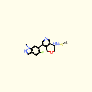 CCSNC1COCc2c(-c3cc4c(cnn4C)cc3F)cncc21